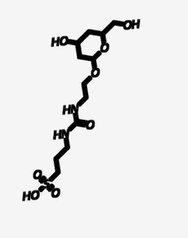 O=C(NCCCS(=O)(=O)O)NCCOC1CC(O)CC(CO)O1